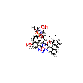 COC(=O)N(C(=O)[C@@H](N)C(c1ccccc1)c1ccccc1)[C@@H](C)CCC[C@@H](CO)N(C)S(=O)(=O)c1ccc(CO)cc1